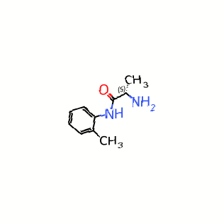 Cc1ccccc1NC(=O)[C@H](C)N